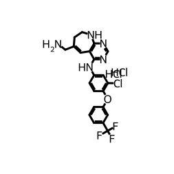 Cl.Cl.NCC1=Cc2c(ncnc2Nc2ccc(Oc3cccc(C(F)(F)F)c3)c(Cl)c2)NCC1